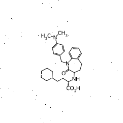 CN(C)c1ccc(CN2C(=O)C(N[C@H](CCC3CCCCC3)C(=O)O)CCc3ccccc32)cc1